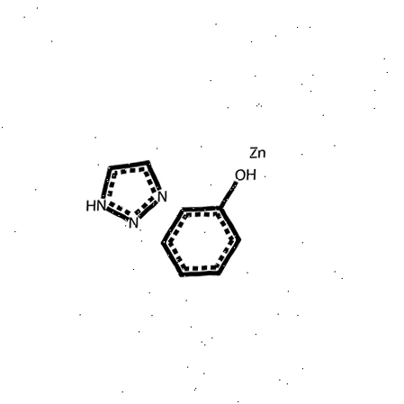 Oc1ccccc1.[Zn].c1c[nH]nn1